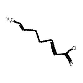 CC=CCCC=CC(=O)Cl